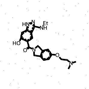 CCNc1n[nH]c2cc(O)c(C(=O)N3Cc4ccc(OCCN(C)C)cc4C3)cc12